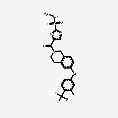 CNS(=O)(=O)c1nc(C(=O)N2CCc3cc(Nc4ccc(C(F)(F)F)c(F)c4)ccc3C2)cs1